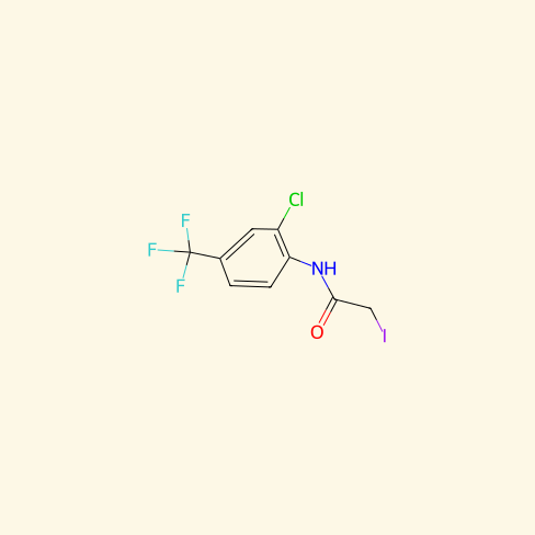 O=C(CI)Nc1ccc(C(F)(F)F)cc1Cl